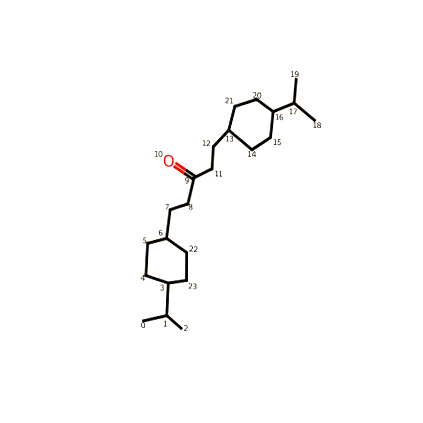 CC(C)C1CCC(CCC(=O)CCC2CCC(C(C)C)CC2)CC1